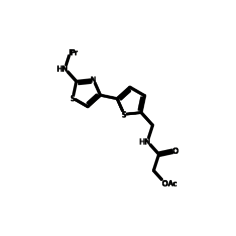 CC(=O)OCC(=O)NCc1ccc(-c2csc(NC(C)C)n2)s1